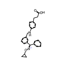 O=C(O)CCc1ccc(NCc2cccc(/C(=N\OC3CC3)c3ccccc3)c2)cc1